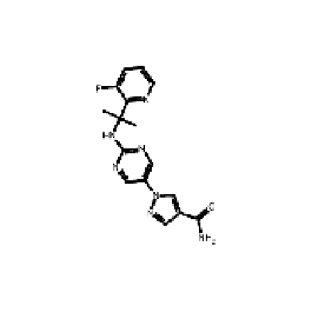 CC(C)(Nc1ncc(-n2cc(C(N)=O)cn2)cn1)c1ncccc1F